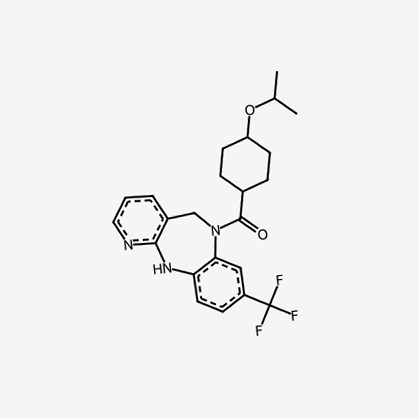 CC(C)OC1CCC(C(=O)N2Cc3cccnc3Nc3ccc(C(F)(F)F)cc32)CC1